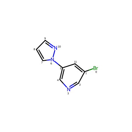 Brc1cncc(-n2cccn2)c1